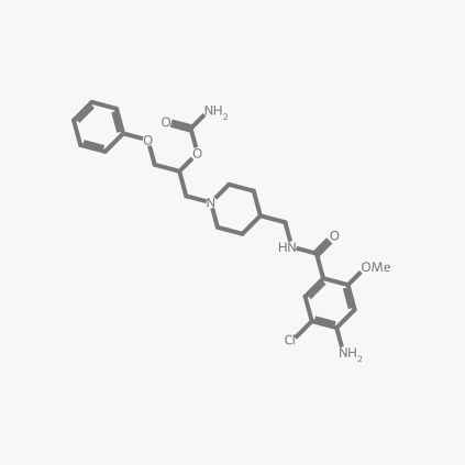 COc1cc(N)c(Cl)cc1C(=O)NCC1CCN(CC(COc2ccccc2)OC(N)=O)CC1